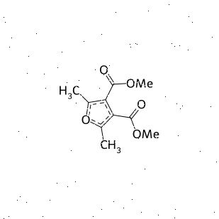 COC(=O)c1c(C)oc(C)c1C(=O)OC